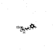 CC(C)(C)OC(=O)NCCCOc1cccc(I)c1